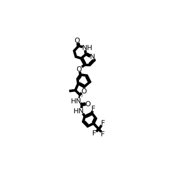 CC1c2cc(Oc3ccnc4c3CCC(=O)N4)ccc2O[C@H]1NC(=O)Nc1ccc(C(F)(F)F)cc1F